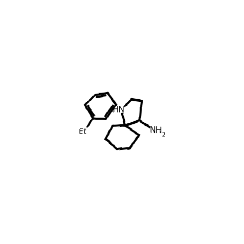 CCc1ccccc1.NC1CCNC12CCCCC2